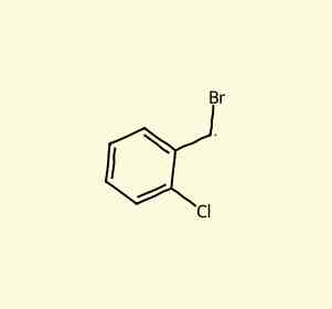 Clc1ccccc1[CH]Br